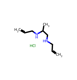 C=CCNCC(C)NCC=C.Cl